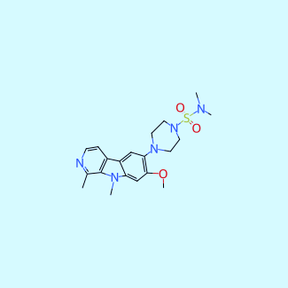 COc1cc2c(cc1N1CCN(S(=O)(=O)N(C)C)CC1)c1ccnc(C)c1n2C